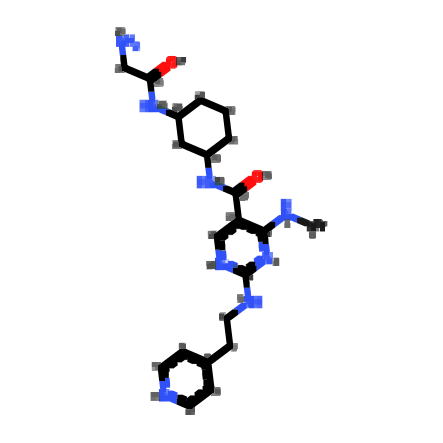 CCCNc1nc(NCCc2ccncc2)ncc1C(=O)NC1CCCC(NC(=O)CN)C1